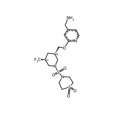 NCc1ccnc(OC[C@@H]2C[C@H](C(F)(F)F)CN(S(=O)(=O)N3CCS(=O)(=O)CC3)C2)c1